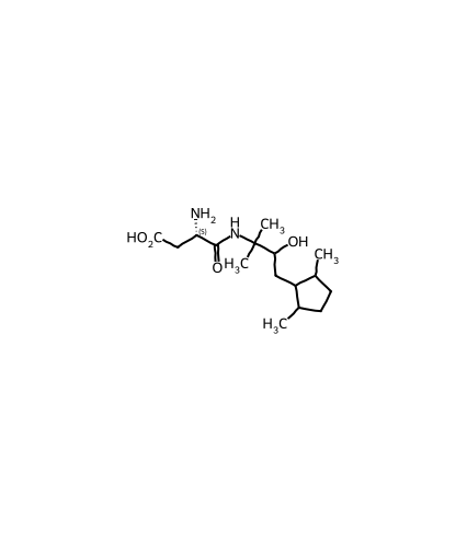 CC1CCC(C)C1CC(O)C(C)(C)NC(=O)[C@@H](N)CC(=O)O